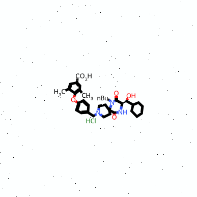 CCCCN1C(=O)[C@@H](C(O)C2CCCCC2)NC(=O)C12CCN(Cc1ccc(Oc3c(C)cc(C(=O)O)cc3C)cc1)CC2.Cl